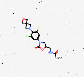 COC(=O)NCC1CN(c2cc(F)c(N3CC4(COC4)C3)c(F)c2)C(=O)O1